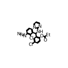 CCC(=O)Oc1ccc(Cl)cc1C(Nc1ncccn1)c1cccc(N=[N+]=[N-])c1Cl